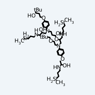 C[SiH2]CCCNCC(O)CN(CCC(O)OC(CNCCC[SiH2]C)CN(CCOCC(C)(C)C)c1ccc(OCC(O)NCCC[SiH2]C)cc1)c1ccc(OCCC(O)C(C)(C)C)cc1